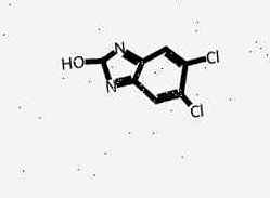 O[C]1N=c2cc(Cl)c(Cl)cc2=N1